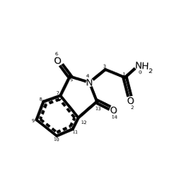 NC(=O)CN1C(=O)c2ccccc2C1=O